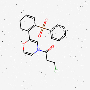 O=C(CCCl)N1C=COC(C2=C(S(=O)(=O)c3ccccc3)C=CCC2)=C1